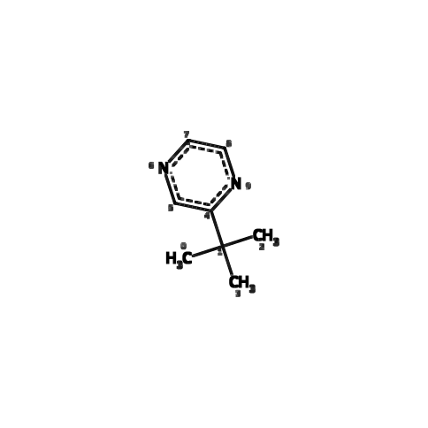 CC(C)(C)c1cn[c]cn1